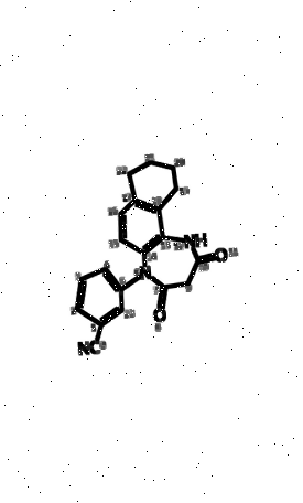 N#Cc1cccc(N2C(=O)CC(=O)Nc3c2ccc2c3CCCC2)c1